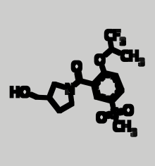 CC(Oc1ccc(S(C)(=O)=O)cc1C(=O)N1CCC(CO)C1)C(F)(F)F